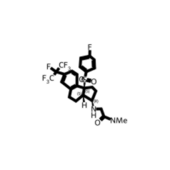 CNC(=O)CN[C@@H]1CC[C@@]2(S(=O)(=O)c3ccc(F)cc3)c3ccc(C(F)(C(F)(F)F)C(F)(F)F)cc3CC[C@@H]12